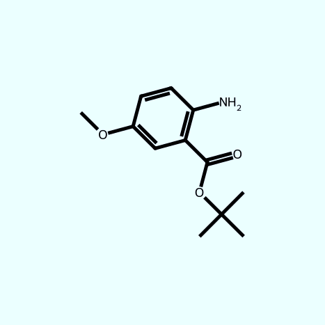 COc1ccc(N)c(C(=O)OC(C)(C)C)c1